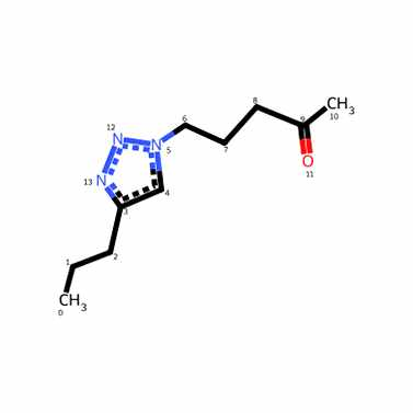 CCCc1cn(CCCC(C)=O)nn1